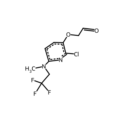 CN(CC(F)(F)F)c1ccc(OCC=O)c(Cl)n1